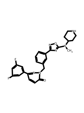 CN(c1nc(-c2cccc(Cn3nc(-c4cc(F)cc(F)c4)ccc3=O)c2)no1)C1CCNCC1